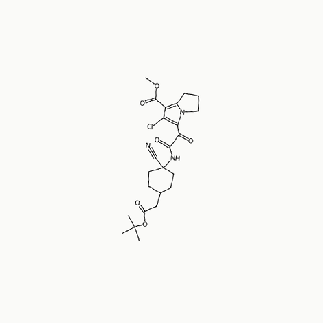 COC(=O)c1c(Cl)c(C(=O)C(=O)NC2(C#N)CCC(CC(=O)OC(C)(C)C)CC2)n2c1CCC2